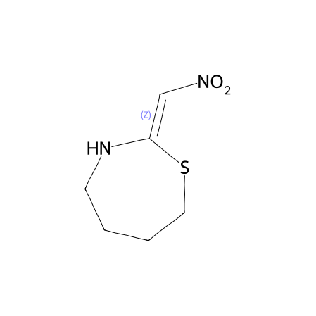 O=[N+]([O-])/C=C1/NCCCCS1